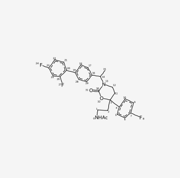 CC(=O)NCCC1(c2ccc(F)cc2)CCN(C(C)c2ccc(-c3ccc(F)cc3F)cc2)C(=O)O1